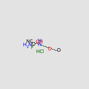 Cl.N#Cc1cc(C(O)CNCCCCCCOCCCCc2ccccc2)cc(F)c1N